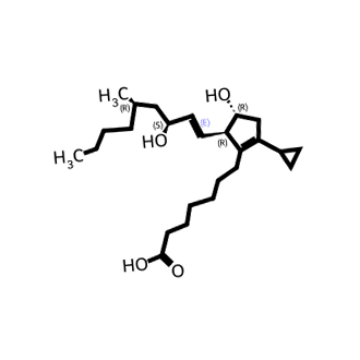 CCCC[C@@H](C)C[C@H](O)/C=C/[C@@H]1C(CCCCCCC(=O)O)=C(C2CC2)C[C@H]1O